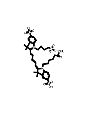 CC1(C)C(/C=C/C=C/C=C2\N(CCCCCC(N)=O)c3ccc(S(=O)(=O)O)cc3C2(C)C)=[N+](CCCCS(=O)(=O)O)c2ccc(S(=O)(=O)O)cc21